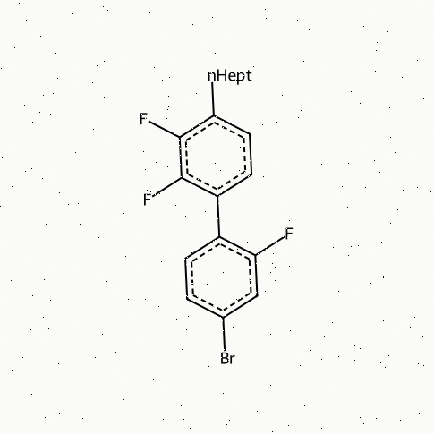 CCCCCCCc1ccc(-c2ccc(Br)cc2F)c(F)c1F